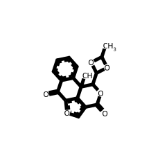 CC1OC(C2OC(=O)c3coc4c3C2(C)c2ccccc2C4=O)O1